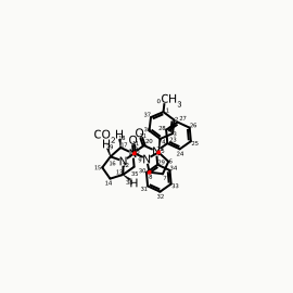 Cc1ccc([C@H]2CCCN2C(=O)N2[C@H]3CC[C@@H]2[C@@H](C(=O)O)N(C(=O)N(c2ccccc2)c2ccccc2)C3)cc1